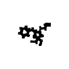 CCC1(CC)O[C@@H](CCO)[C@H](Cc2ccccc2)O1